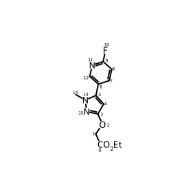 CCOC(=O)COc1cc(-c2ccc(F)nc2)n(C)n1